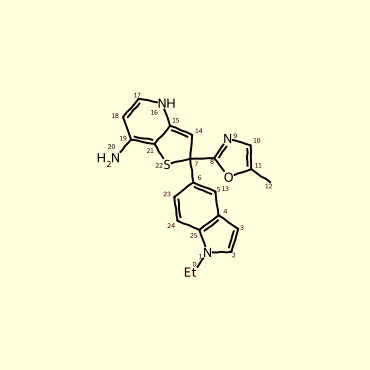 CCn1ccc2cc(C3(c4ncc(C)o4)C=C4NC=CC(N)=C4S3)ccc21